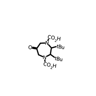 CC(C)(C)C1C(C(C)(C)C)N(C(=O)O)CC(=O)CN1C(=O)O